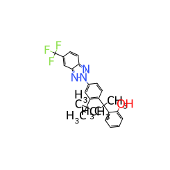 CC(C)(C)c1cc(-n2nc3ccc(C(F)(F)F)cc3n2)ccc1C(C)(C)c1ccccc1O